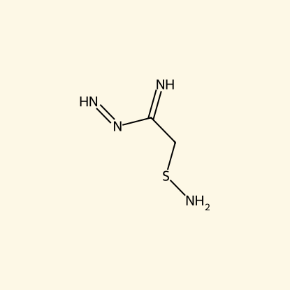 N=NC(=N)CSN